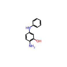 Nc1ccc(Nc2ccccc2)cc1O